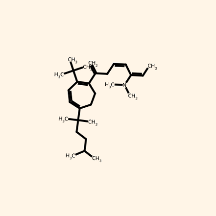 C=C(C/C=C\C(=C/C)N(C)C)C1=C(C(C)(C)C)C=C=C(C(C)(C)CCC(C)C)CC1